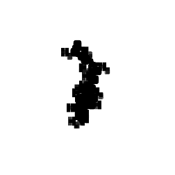 CC(C)(CCCc1ccc(CCCC(C)(C)C(=O)CCNC(=O)CCNC(=O)C(O)C(C)(C)COP(=O)(O)OP(=O)(O)OCC2OC(n3cnc4c(N)ncnc43)C(O)C2OP(=O)(O)O)cc1)OC=O